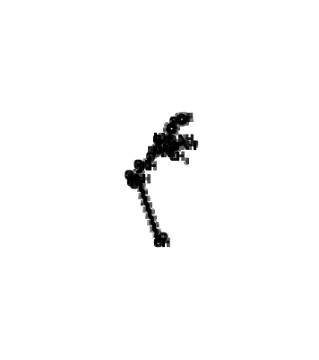 C[C@@H](NC(=O)[C@@H]1C[C@](F)(COCCNC(=O)CC[C@H](NC(=O)CCCCCCCCCCCCCCCCC(=O)O)C(=O)O)CN1C(=O)CNC(=O)c1ccc(Oc2ccc(F)cc2)cc1)c1cc(C(=N)N)cs1